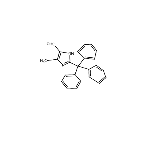 Cc1nc(C(c2ccccc2)(c2ccccc2)c2ccccc2)[nH]c1C=O